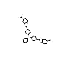 CNC(=N)c1ccc2nc(-c3ccc(N(c4ccccc4)c4ccc(-c5nc6ccc(C(=N)NC)cc6[nH]5)cc4)cc3)[nH]c2c1